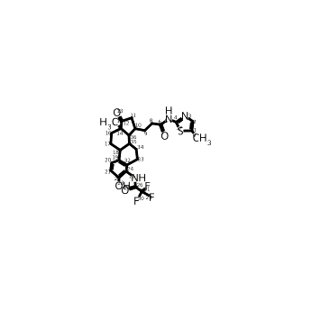 Cc1cnc(NC(=O)CCC2CC(=O)C3(C)CCC4c5ccc(O)c(NC(=O)C(F)(F)F)c5CCC4C23)s1